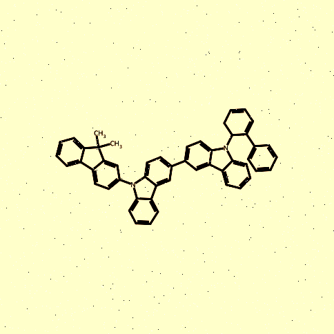 CC1(C)c2ccccc2-c2ccc(-n3c4ccccc4c4cc(-c5ccc6c(c5)c5ccccc5n6C5CC=CC=C5c5ccccc5)ccc43)cc21